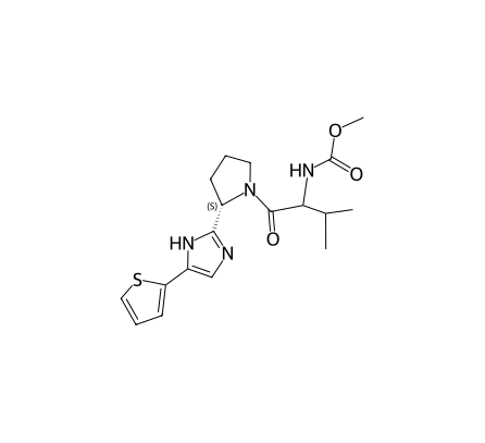 COC(=O)NC(C(=O)N1CCC[C@H]1c1ncc(-c2cccs2)[nH]1)C(C)C